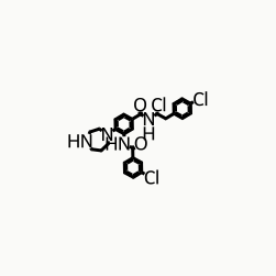 O=C(Nc1cc(C(=O)NC(Cl)Cc2ccc(Cl)cc2)ccc1N1CCCNCC1)c1cccc(Cl)c1